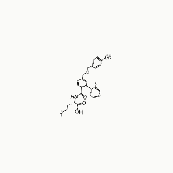 CSCC[C@H](NC(=O)c1ccc(COCc2ccc(O)cc2)cc1-c1ccccc1C)C(=O)O